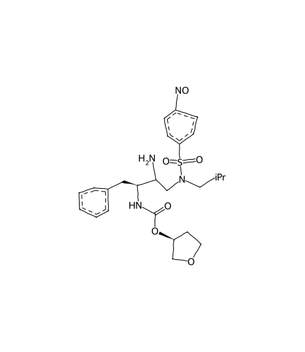 CC(C)CN(CC(N)[C@H](Cc1ccccc1)NC(=O)O[C@H]1CCOC1)S(=O)(=O)c1ccc(N=O)cc1